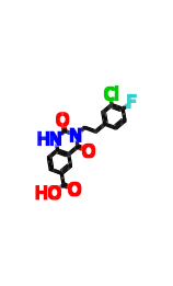 O=C(O)c1ccc2[nH]c(=O)n(CCc3ccc(F)c(Cl)c3)c(=O)c2c1